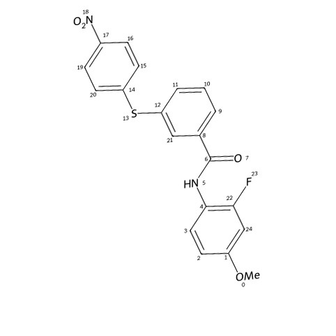 COc1ccc(NC(=O)c2cccc(Sc3ccc([N+](=O)[O-])cc3)c2)c(F)c1